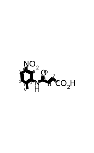 Cc1ccc([N+](=O)[O-])cc1NC(=O)C=CC(=O)O